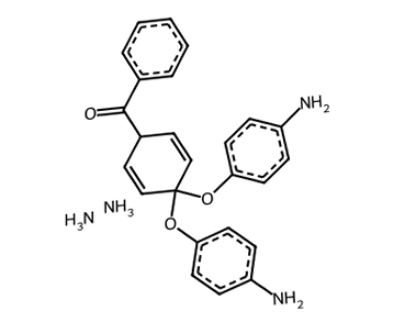 N.N.Nc1ccc(OC2(Oc3ccc(N)cc3)C=CC(C(=O)c3ccccc3)C=C2)cc1